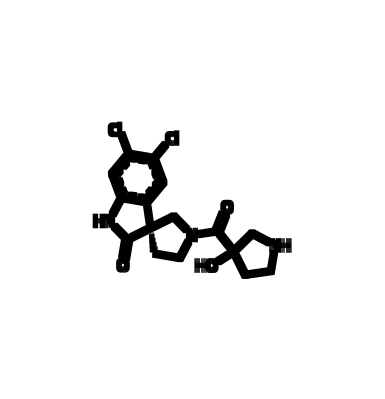 O=C(N1CC[C@]2(C1)C(=O)Nc1cc(Cl)c(Cl)cc12)C1(O)CCNC1